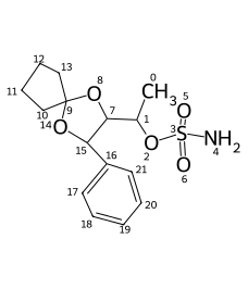 CC(OS(N)(=O)=O)C1OC2(CCCC2)OC1c1ccccc1